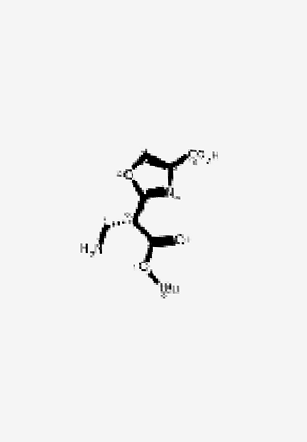 CC(C)(C)OC(=O)[C@H](CN)c1nc(C(=O)O)co1